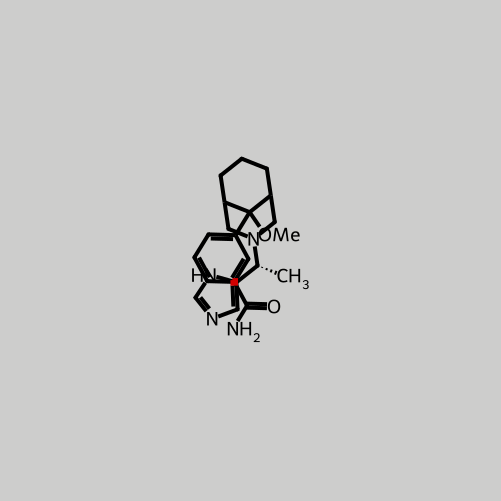 COC1(c2cccc(C(N)=O)c2)C2CCCC1CN([C@H](C)c1cnc[nH]1)C2